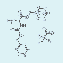 CC(NC(=O)OCc1ccccc1)C(=O)OC[N+]12CCC(CC1)CC2.O=C([O-])C(F)(F)F